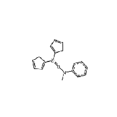 CN([B]=[Zr]([C]1=CC=CC1)[C]1=CC=CC1)c1ccccc1